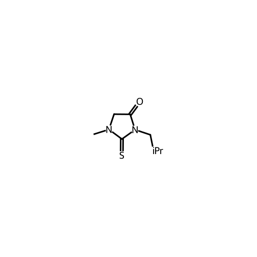 CC(C)CN1C(=O)CN(C)C1=S